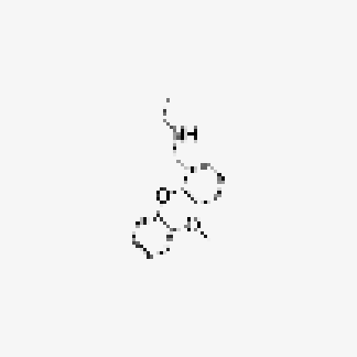 CCNCc1ccccc1Oc1ccccc1OC